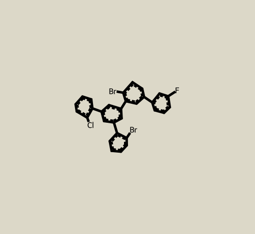 Fc1cccc(-c2ccc(Br)c(-c3cc(-c4ccccc4Cl)cc(-c4ccccc4Br)c3)c2)c1